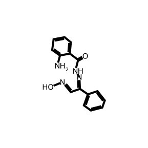 Nc1ccccc1C(=O)NN=C(C=NO)c1ccccc1